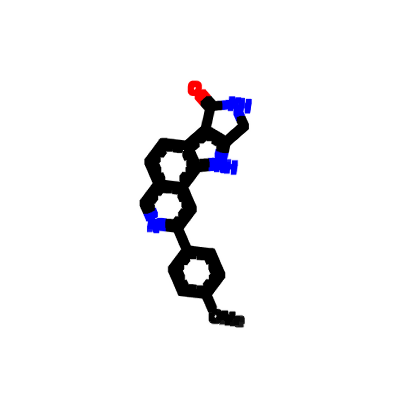 COc1ccc(-c2cc3c(ccc4c5c([nH]c43)CNC5=O)cn2)cc1